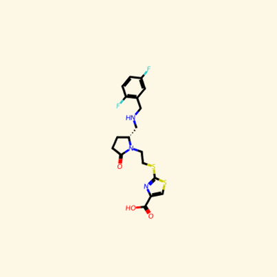 O=C(O)c1csc(SCCN2C(=O)CC[C@@H]2CNCc2cc(F)ccc2F)n1